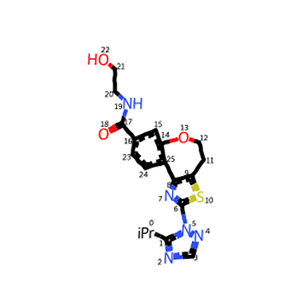 CC(C)c1ncnn1-c1nc2c(s1)CCOc1cc(C(=O)NCCO)ccc1-2